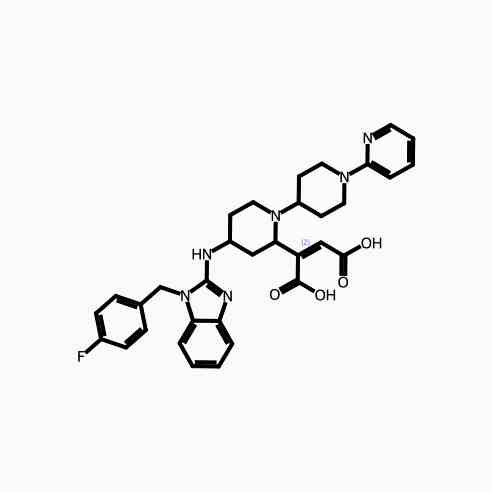 O=C(O)/C=C(\C(=O)O)C1CC(Nc2nc3ccccc3n2Cc2ccc(F)cc2)CCN1C1CCN(c2ccccn2)CC1